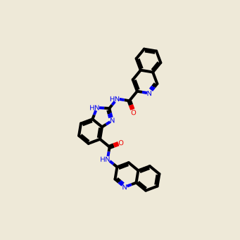 O=C(Nc1nc2c(C(=O)Nc3cnc4ccccc4c3)cccc2[nH]1)c1cc2ccccc2cn1